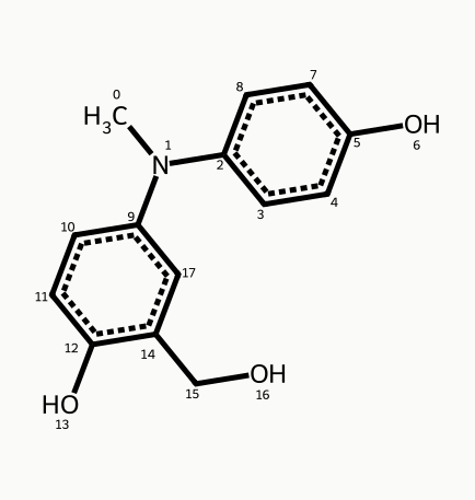 CN(c1ccc(O)cc1)c1ccc(O)c(CO)c1